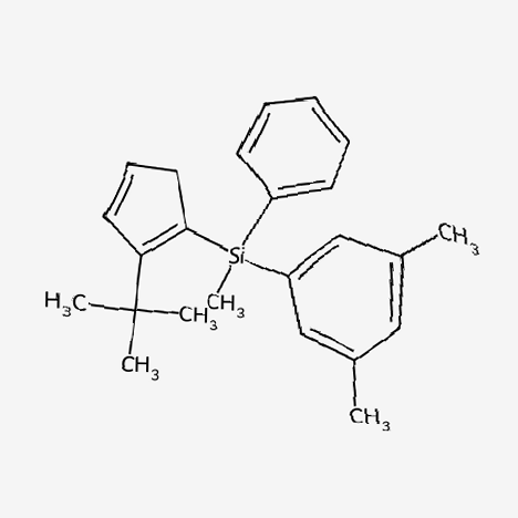 Cc1cc(C)cc([Si](C)(C2=C(C(C)(C)C)C=CC2)c2ccccc2)c1